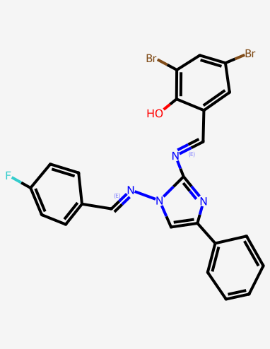 Oc1c(Br)cc(Br)cc1/C=N/c1nc(-c2ccccc2)cn1/N=C/c1ccc(F)cc1